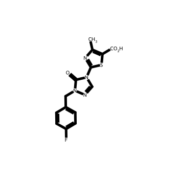 Cc1nc(-n2cnn(Cc3ccc(F)cc3)c2=O)sc1C(=O)O